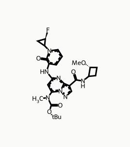 CO[C@@H]1CCC1NC(=O)c1cnn2c(N(C)C(=O)OC(C)(C)C)cc(Nc3cccn(C4C[C@H]4F)c3=O)nc12